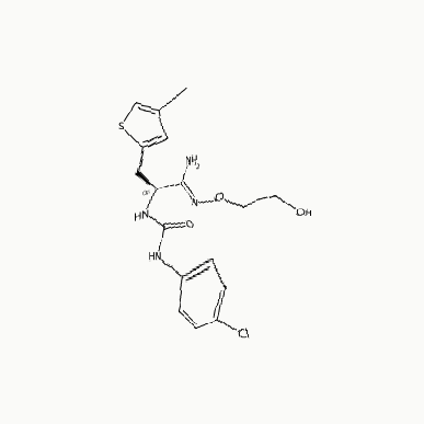 Cc1csc(C[C@H](NC(=O)Nc2ccc(Cl)cc2)C(N)=NOCCO)c1